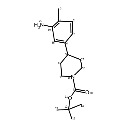 Cc1ccc(C2CCN(C(=O)OC(C)(C)C)CC2)cc1N